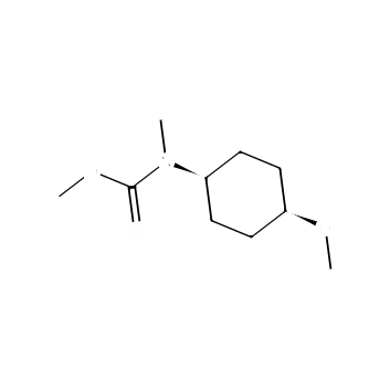 COC(=O)N(C)[C@H]1CC[C@@H](OC)CC1